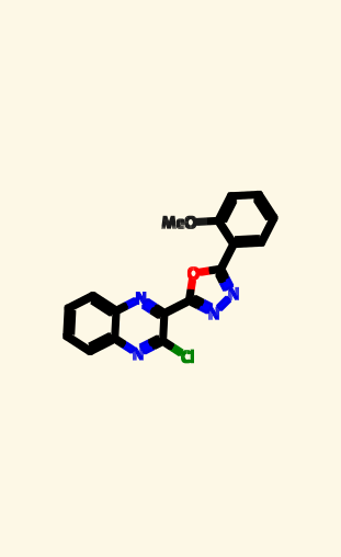 COc1ccccc1-c1nnc(-c2nc3ccccc3nc2Cl)o1